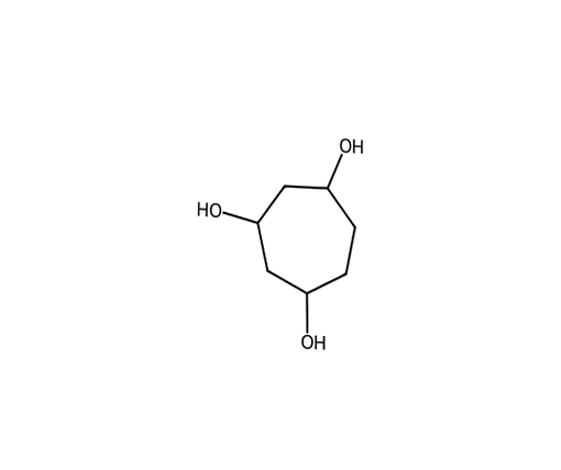 OC1CCC(O)CC(O)C1